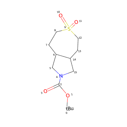 CC(C)(C)OC(=O)N1CC2CCS(=O)(=O)CCC2C1